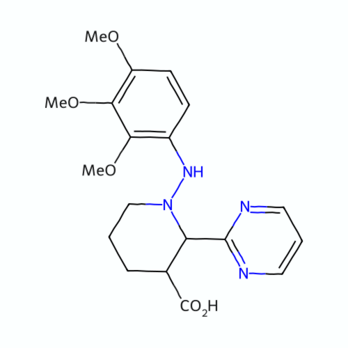 COc1ccc(NN2CCCC(C(=O)O)C2c2ncccn2)c(OC)c1OC